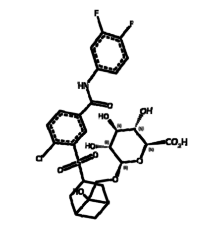 O=C(Nc1ccc(F)c(F)c1)c1ccc(Cl)c(S(=O)(=O)C2CC3CC(C2)C3(O)CO[C@@H]2O[C@H](C(=O)O)[C@@H](O)[C@H](O)[C@H]2O)c1